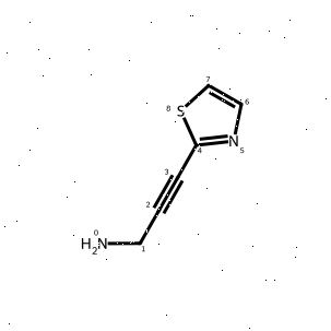 NCC#Cc1nccs1